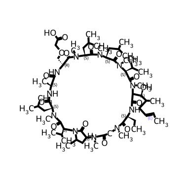 C/C=C/CC(C)[C@H](O)C1C(=O)N[C@@H](CC)C(=O)N(C)CC(=O)N(C)[C@H]2CC(C)N(C2=O)[C@@H](C(C)C)C(=O)N(C)[C@@H](CC(C)C)C(=O)N[C@@H](C)C(=O)N[C@H](COCC(=O)O)C(=O)N(C)[C@@H](CC(C)C)C(=O)N(C)[C@@H](CC(C)C)C(=O)N(C)[C@@H](C(C)C)C(=O)N1C